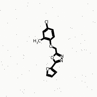 Cc1cc(Cl)ccc1OCc1nnc(-c2ccco2)o1